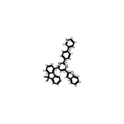 CC1(C)c2ccccc2-c2c(-c3cc(-c4cc5ccccc5o4)nc(-c4ccc(-c5cccnc5)cc4)n3)cccc21